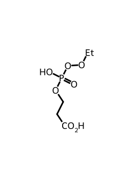 CCOOP(=O)(O)OCCC(=O)O